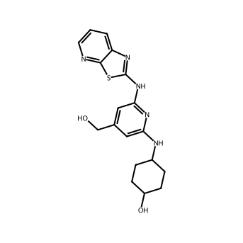 OCc1cc(Nc2nc3cccnc3s2)nc(NC2CCC(O)CC2)c1